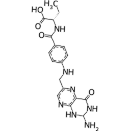 CC[C@H](NC(=O)c1ccc(NCc2cnc3c(n2)C(=O)NC(N)N3)cc1)C(=O)O